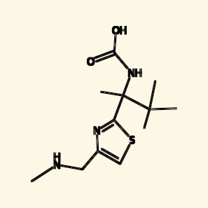 CNCc1csc(C(C)(NC(=O)O)C(C)(C)C)n1